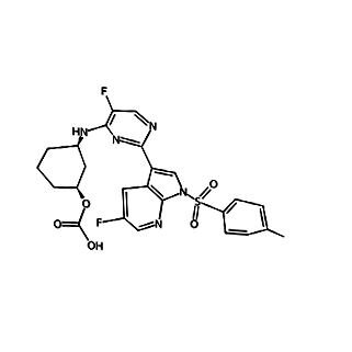 Cc1ccc(S(=O)(=O)n2cc(-c3ncc(F)c(N[C@@H]4CCC[C@H](OC(=O)O)C4)n3)c3cc(F)cnc32)cc1